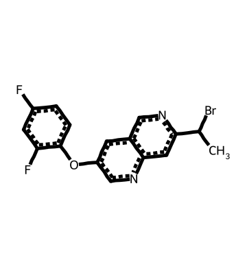 CC(Br)c1cc2ncc(Oc3ccc(F)cc3F)cc2cn1